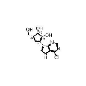 OC[C@H]1C[C@@H](c2c[nH]c3c(Cl)ncnc23)[C@H](O)[C@@H]1O